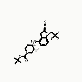 CC(C)(C)OC(=O)N1CC[C@H](Nc2cccc3c2CC(=C=S)N3CC(F)(F)F)[C@H](F)C1